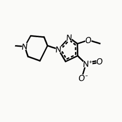 COc1nn(C2CCN(C)CC2)cc1[N+](=O)[O-]